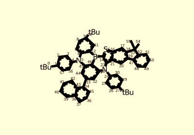 CC(C)(C)c1ccc(N2c3ccc(C(C)(C)C)cc3B3c4sc5cc6c(cc5c4N(c4ccc(C(C)(C)C)cc4)c4cc(-c5cccc7ccccc57)cc2c43)-c2ccccc2C6(C)C)cc1